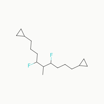 CC(C(F)CCCC1CC1)C(F)CCCC1CC1